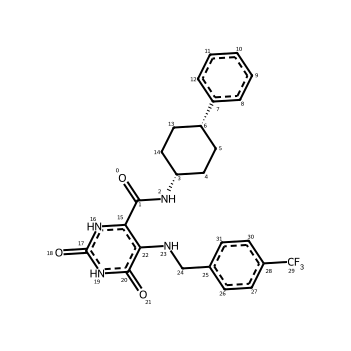 O=C(N[C@H]1CC[C@@H](c2ccccc2)CC1)c1[nH]c(=O)[nH]c(=O)c1NCc1ccc(C(F)(F)F)cc1